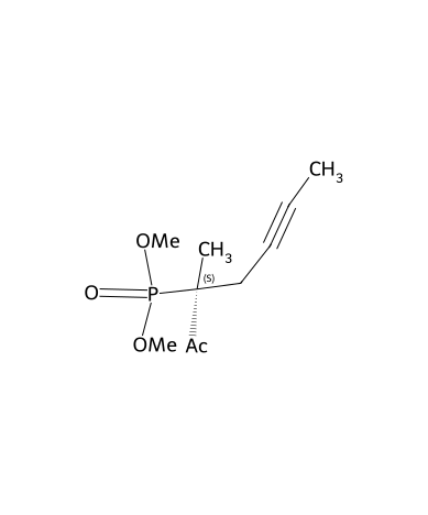 CC#CC[C@@](C)(C(C)=O)P(=O)(OC)OC